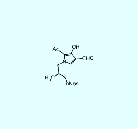 CCCCCCCCCCC(C)Cn1cc(C=O)c(O)c1C(C)=O